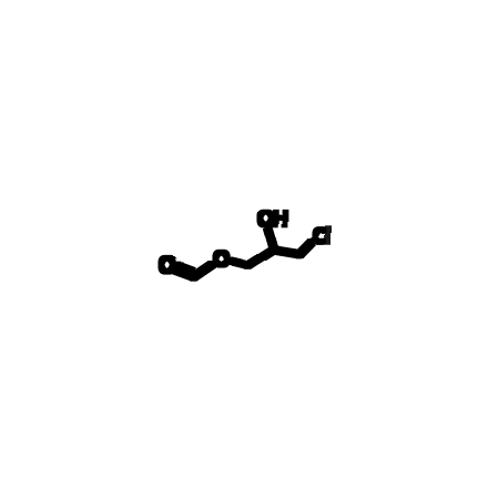 O=COCC(O)CCl